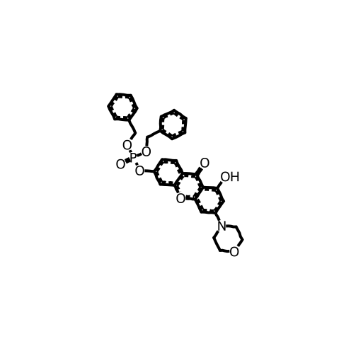 O=c1c2ccc(OP(=O)(OCc3ccccc3)OCc3ccccc3)cc2oc2cc(N3CCOCC3)cc(O)c12